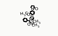 COC(=O)C(c1ccccc1)[n+]1cn(-c2ccc(N3CCCC3=O)cc2OC)cc1C